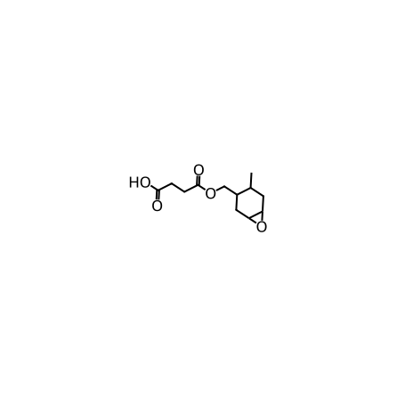 CC1CC2OC2CC1COC(=O)CCC(=O)O